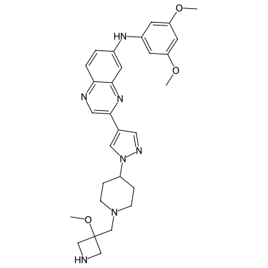 COc1cc(Nc2ccc3ncc(-c4cnn(C5CCN(CC6(OC)CNC6)CC5)c4)nc3c2)cc(OC)c1